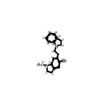 CC(=O)N1CCc2cc(Br)c(CCN3CCc4ccccc43)cc21